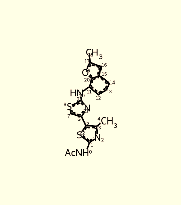 CC(=O)Nc1nc(C)c(-c2csc(Nc3cccc4cc(C)oc34)n2)s1